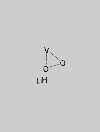 [LiH].[O]1[O][V]1